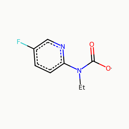 CCN(C([O])=O)c1ccc(F)cn1